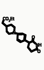 CCOC(=O)CC1CCN(c2ccc(C3CCC(=O)NC3=O)cc2)CC1